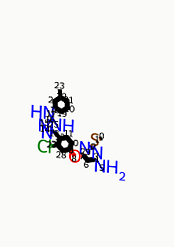 CSc1nc(N)cc(Oc2ccc(-c3nnc(Nc4cccc(C)c4)[nH]3)c(Cl)c2)n1